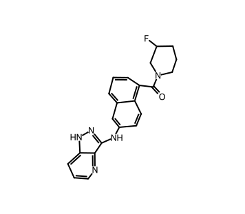 O=C(c1cccc2cc(Nc3n[nH]c4cccnc34)ccc12)N1CCCC(F)C1